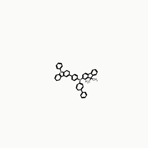 CC1(C)c2ccccc2-c2ccc(N(C3=CC=C(c4ccccc4)CC=C3)c3ccc(C4=Cc5c6c(n(-c7ccccc7)c5CC4)C=CCC6)cc3)cc21